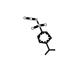 CC(C)c1ccc(S(=O)(=O)N=C=O)cc1